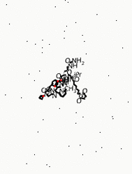 Cc1cccc(-c2nc(CN(C(=O)OCc3ccc(NC(=O)[C@H](CCCNC(N)=O)NC(=O)[C@@H](NC(=O)CCCCCN4C(=O)C=CC4=O)C(C)C)cc3)C34CC(C3)C4)[nH]c2-c2ccc3ncnn3c2)n1